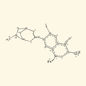 CCn1cc(C(=O)O)c(=O)c2cc(F)c(N3CC4CC(C3)N(C)C4)cc21